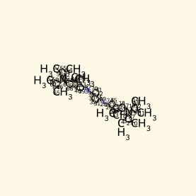 Cc1cc(C)cc(N(c2cc(C)cc(C)c2)c2ccc3c(c2)C(C)(C)c2cc(/C=C/c4cccc5c(/C=C/c6ccc7c(c6)C(C)(C)c6cc(N(c8cc(C)cc(C)c8)c8cc(C)cc(C)c8)ccc6-7)cccc45)ccc2-3)c1